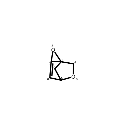 C1=C2OC23COC1C3